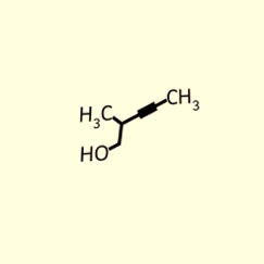 CC#CC(C)CO